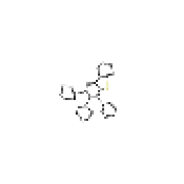 c1ccc(-c2cc3c(sc4ccccc43)c(-c3ccccc3)c2-c2ccccc2)cc1